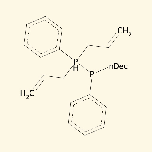 C=CC[PH](CC=C)(c1ccccc1)P(CCCCCCCCCC)c1ccccc1